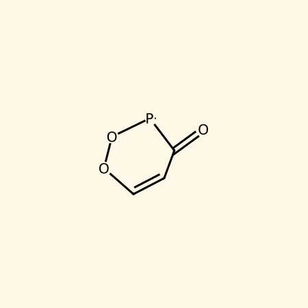 O=C1C=COO[P]1